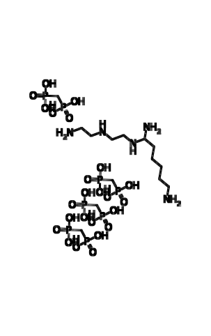 NCCCCCC(N)NCCNCCN.O=P(O)(O)CP(=O)(O)O.O=P(O)(O)CP(=O)(O)O.O=P(O)(O)CP(=O)(O)O.O=P(O)(O)CP(=O)(O)O